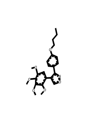 CCCCOc1ccc(-c2nocc2-c2cc(OC)c(OC)c(OC)c2OC)cc1